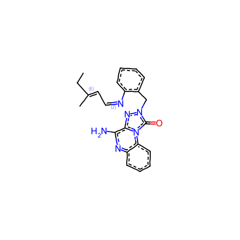 CC/C(C)=C/C=N\c1ccccc1Cn1nc2c(N)nc3ccccc3n2c1=O